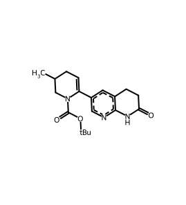 CC1CC=C(c2cnc3c(c2)CCC(=O)N3)N(C(=O)OC(C)(C)C)C1